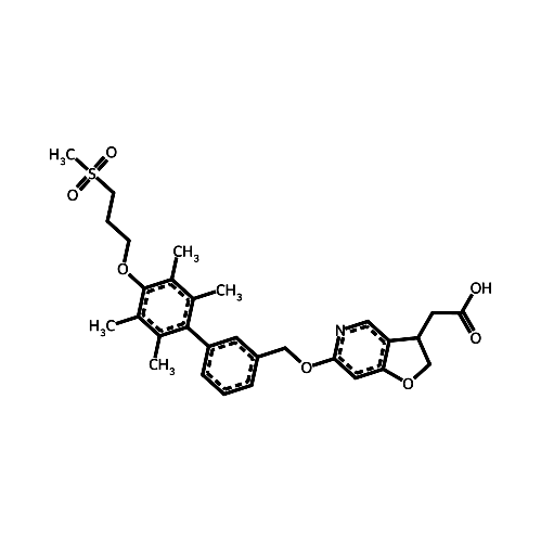 Cc1c(C)c(-c2cccc(COc3cc4c(cn3)C(CC(=O)O)CO4)c2)c(C)c(C)c1OCCCS(C)(=O)=O